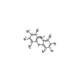 Brc1c(Br)c(Br)c([N]c2c(Br)c(Br)c(Br)c(Br)c2Br)c(Br)c1Br